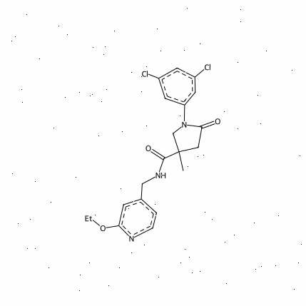 CCOc1cc(CNC(=O)C2(C)CC(=O)N(c3cc(Cl)cc(Cl)c3)C2)ccn1